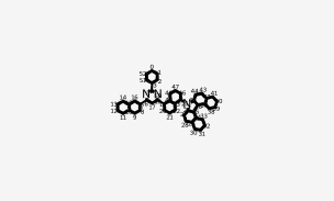 c1ccc(-c2nc(-c3ccc4ccccc4c3)cc(-c3cccc4c(-n5c6ccc7ccccc7c6c6c7ccccc7ccc65)cccc34)n2)cc1